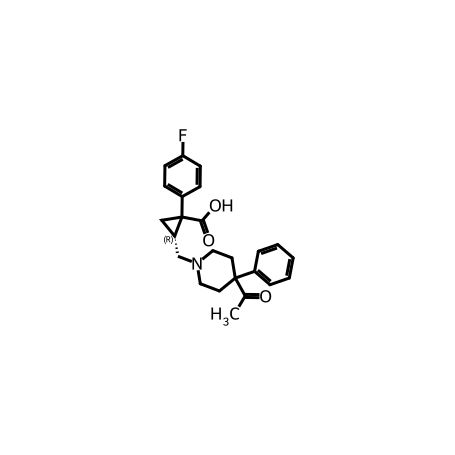 CC(=O)C1(c2ccccc2)CCN(C[C@@H]2CC2(C(=O)O)c2ccc(F)cc2)CC1